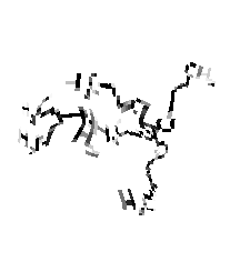 CC(N)N.CCCO[Si](CC)(OCCC)OCCC